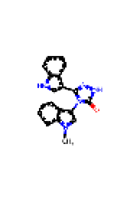 Cn1cc(-n2c(-c3c[nH]c4ccccc34)n[nH]c2=O)c2ccccc21